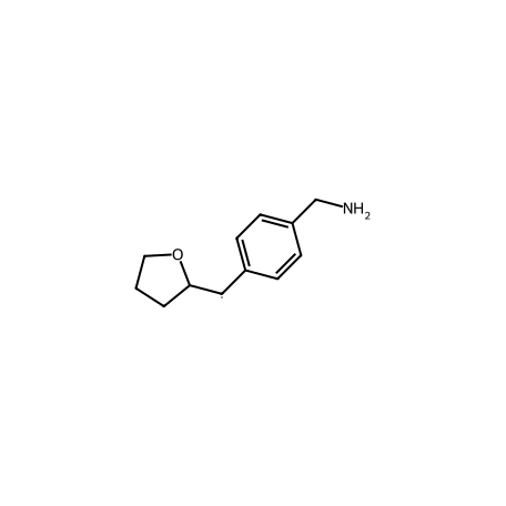 NCc1ccc([CH]C2CCCO2)cc1